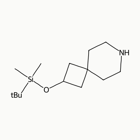 CC(C)(C)[Si](C)(C)OC1CC2(CCNCC2)C1